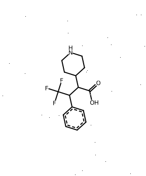 O=C(O)C(C1CCNCC1)C(c1ccccc1)C(F)(F)F